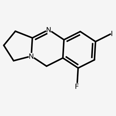 Fc1cc(I)cc2c1CN1CCCC1=N2